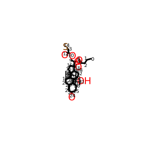 CCCC(=O)O[C@]1(C(=O)COC(=O)C=S)CC[C@H]2[C@@H]3CCC4=CC(=O)CC[C@]4(C)[C@H]3[C@@H](O)C[C@@]21C